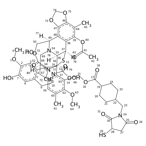 COc1cc2c(cc1O)CCN(C(=O)OCOC(=O)C1CCC(CN3C(=O)CC(S)C3=O)CC1)[C@]21CS[C@@H]2c3c(OC(C)=O)c(C)c4c(c3[C@H](COC1=O)N1[C@@H]2[C@H]2c3c(cc(C)c(OC)c3O)C[C@@H]([C@@H]1O)N2C)OCO4